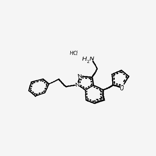 Cl.NCc1nn(CCc2ccccc2)c2cccc(-c3ccco3)c12